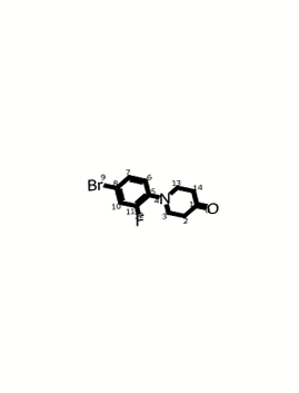 O=C1CCN(c2ccc(Br)cc2F)CC1